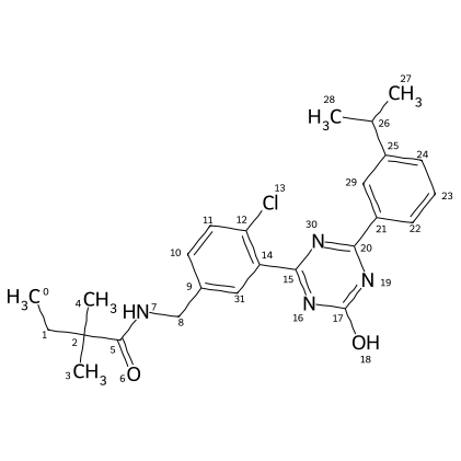 CCC(C)(C)C(=O)NCc1ccc(Cl)c(-c2nc(O)nc(-c3cccc(C(C)C)c3)n2)c1